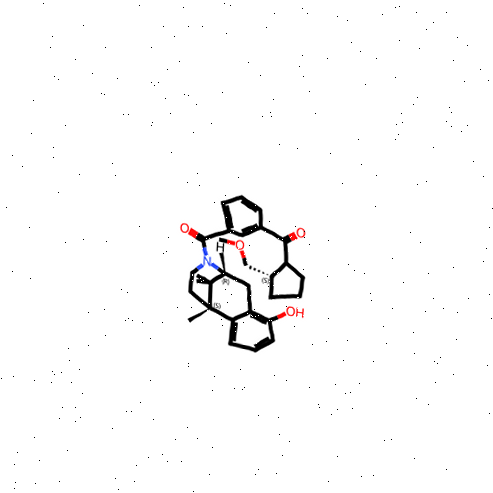 COC[C@H]1CCCC1C(=O)c1cccc(C(=O)N2CC[C@@]3(C)c4cccc(O)c4C[C@@H]2C3(C)C)c1